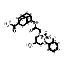 CC1CN(CC(=O)NC2C3CC4CC2CC(C(N)=O)(C4)C3)S(=O)(=O)N(c2ccccc2I)C1